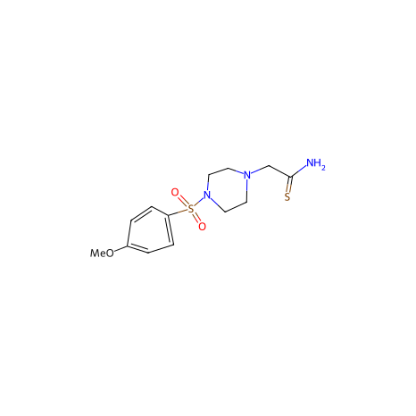 COc1ccc(S(=O)(=O)N2CCN(CC(N)=S)CC2)cc1